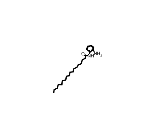 CCCCCCCCCCCCCCCCCC(=O)Nc1ccccc1N